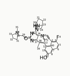 C#Cc1c(F)ccc2cc(O)cc(-c3cnc4c(N5CC6CCC(C5)N6)nc(OCC5CCCN5C)nc4c3C)c12